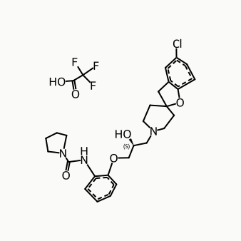 O=C(Nc1ccccc1OC[C@@H](O)CN1CCC2(CC1)Cc1cc(Cl)ccc1O2)N1CCCC1.O=C(O)C(F)(F)F